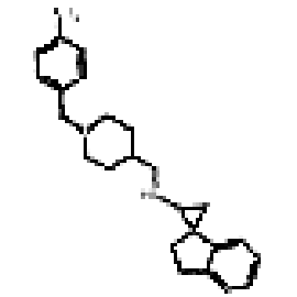 Cc1ccc(CN2CCC(CNC3CC34CCc3ccccc34)CC2)cc1